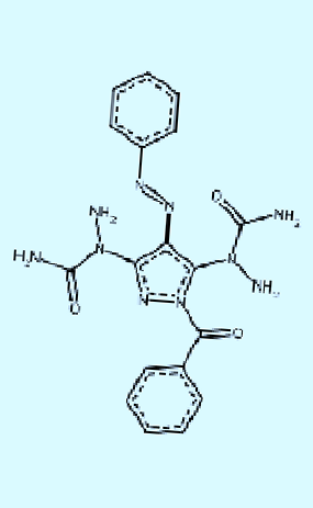 NC(=O)N(N)c1nn(C(=O)c2ccccc2)c(N(N)C(N)=O)c1N=Nc1ccccc1